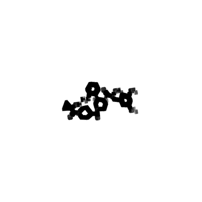 Cc1ccccc1[C@@H]1CN(C(=O)C2CCN(C(=O)C3(O)CC3)CC2)CC[C@H]1C(=O)N(C)Cc1cc(C(F)(F)F)cc(C(F)(F)F)c1